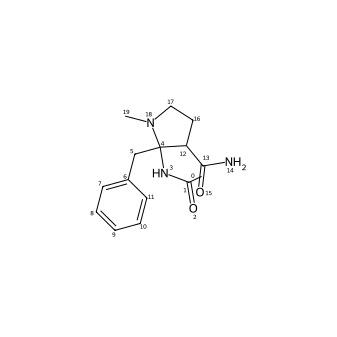 CC(=O)NC1(Cc2ccccc2)C(C(N)=O)CCN1C